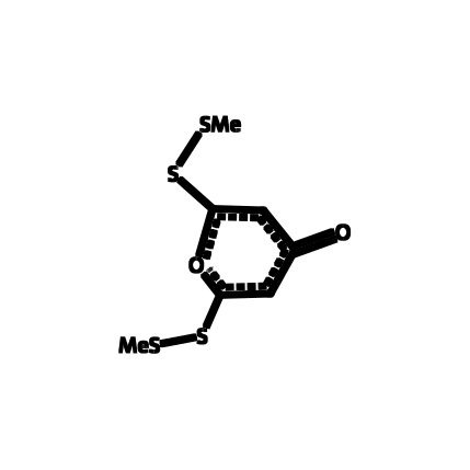 CSSc1cc(=O)cc(SSC)o1